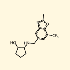 Cc1nc2cc(CN[C@H]3CCC[C@H]3O)cc(C(F)(F)F)c2o1